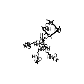 CCC1=C(C)c2cc3[nH]c(cc4nc(c(C)c5cc(C)c(cc1n2)[nH]5)[C@@H](CCC(=O)N[C@@H](CCCCNC(=O)OC(C)(C)C)C(=O)N[C@@H](CCCCNC(=O)OC(C)(C)C)C(=O)N[C@@H](CCCCNC(=O)OC(C)(C)C)C(=O)N(C)C)[C@@H]4C)c(C)c3CC